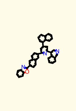 c1ccc2c(-c3cc(-c4ccc5cc(-c6nc7ccccc7o6)ccc5c4)nc(-c4cncc5ccccc45)c3)cccc2c1